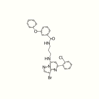 O=C(NCCCNc1cc(-c2ccccc2Cl)nc2c(Br)cnn12)c1cccc(Oc2ccccc2)c1